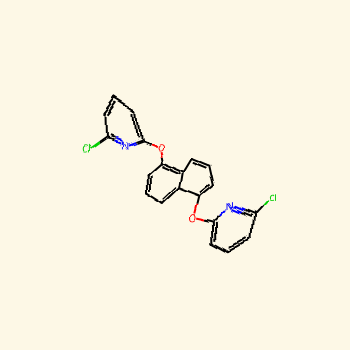 Clc1cccc(Oc2cccc3c(Oc4cccc(Cl)n4)cccc23)n1